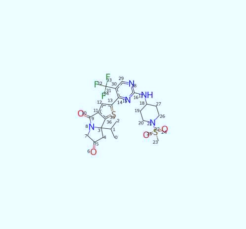 CC(C)C12CC(=O)CN1C(=O)c1cc(-c3nc(NC4CCN(S(C)(=O)=O)CC4)ncc3C(F)(F)F)sc12